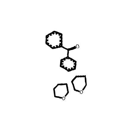 C1CCOCC1.C1CCOCC1.O=C(c1ccccc1)c1ccccc1